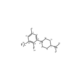 Cc1cc(N2CCC(N(C)C)CC2)c(F)c(C(F)(F)F)c1